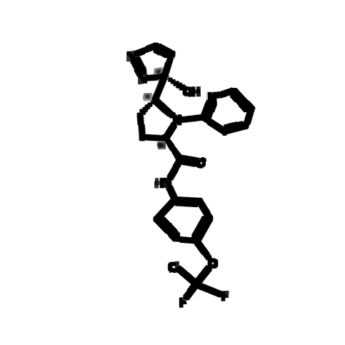 O=C(Nc1ccc(OC(F)(F)Cl)cc1)[C@H]1CC[C@H]([C@]2(O)C=CN=N2)N1c1[c]cccn1